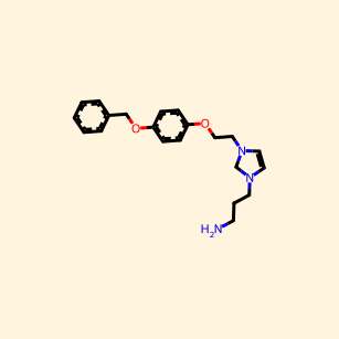 NCCCN1C=CN(CCOc2ccc(OCc3ccccc3)cc2)C1